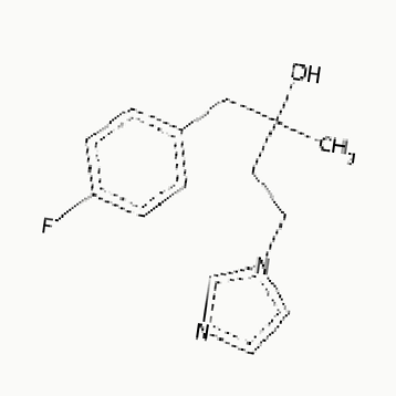 CC(O)(CCn1ccnc1)Cc1ccc(F)cc1